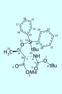 COC(=O)[C@@H](NC(=O)OC(C)(C)C)[C@@H](C)O[Si](c1ccccc1)(c1ccccc1)C(C)(C)C